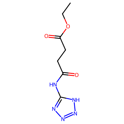 CCOC(=O)CCC(=O)Nc1nnn[nH]1